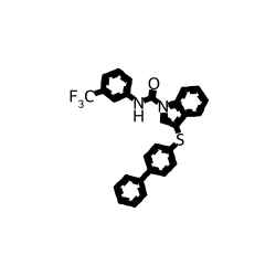 O=C(Nc1cccc(C(F)(F)F)c1)n1cc(Sc2ccc(-c3ccccc3)cc2)c2ccccc21